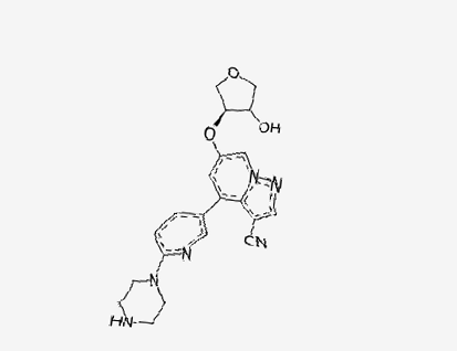 N#Cc1cnn2cc(O[C@H]3COCC3O)cc(-c3ccc(N4CCNCC4)nc3)c12